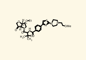 CCO[C@H]1CN(C(=O)C(NC(=O)c2ccc(-c3csc(N4CCN(CCOC)CC4)n3)cc2)C(C)(C)CC)[C@@H]2C(=O)CO[C@H]12